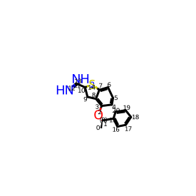 C[C@@H](Oc1cccc2c1CC(C(=N)N)S2)c1ccccc1